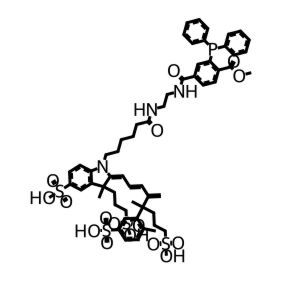 C=C(/C=C/C=C1/N(CCCCCC(=O)NCCNC(=O)c2ccc(C(=O)OC)c(P(c3ccccc3)c3ccccc3)c2)c2ccc(S(=O)(=O)O)cc2C1(C)CCCS(=O)(=O)O)C(C)(CCCS(=O)(=O)O)c1cc(S(=O)(=O)O)ccc1C